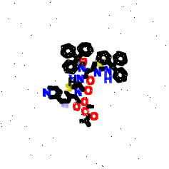 CC(OC(=O)C1=C(/C=C\c2cccnc2)CS[C@H]2[C@H](NC(=O)C(=NOC(c3ccccc3)(c3ccccc3)c3ccccc3)c3csc(NC(c4ccccc4)(c4ccccc4)c4ccccc4)n3)C(=O)N12)OC(=O)C(C)C